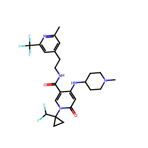 Cc1cc(CCNC(=O)c2cn(C3(C(F)F)CC3)c(=O)cc2NC2CCN(C)CC2)cc(C(F)(F)F)n1